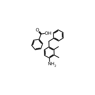 Cc1c(N)ccc(Cc2ccccc2)c1C.O=C(O)c1ccccc1